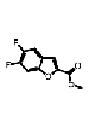 COC(=O)c1cc2cc(F)c(F)cc2o1